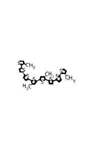 Cc1ccsc1-c1ccc(-c2ccc(-c3sc(-c4cc(C)c(-c5ccc(-c6ccc(-c7sccc7C)s6)s5)s4)cc3C)s2)s1